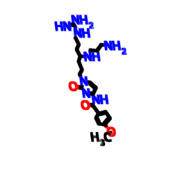 COc1ccc(C(=O)Nc2ccn(CCCC(CCCNC(=N)N)NCCCN)c(=O)n2)cc1